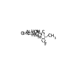 CCCC(CCC)c1cc(F)ccc1-c1ccc(N)c(NC(=O)N2Cc3cn(C4COC4)nc3C2)n1